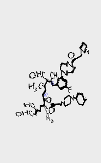 C/C(=C\c1cc(F)cc(N2CCN(C(=O)Cn3cccn3)CC2)c1)[C@@H](C=O)[C@@H](C)/C=C/[C@H](OC(=O)N1CCN(C2CCCCC2)CC1)[C@@H](C)CC[C@@H](O)CC=O